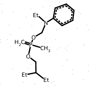 C=P(C)(OCC(CC)CC)OCN(CC)c1ccccc1